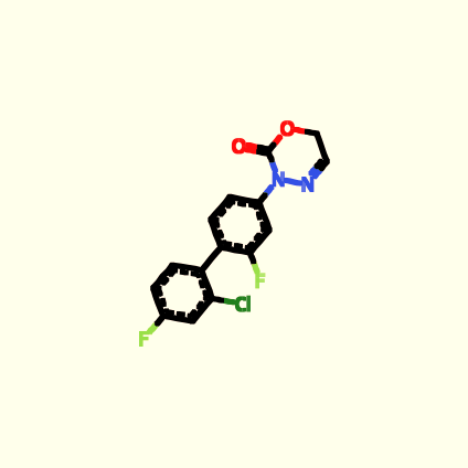 O=C1OCC=NN1c1ccc(-c2ccc(F)cc2Cl)c(F)c1